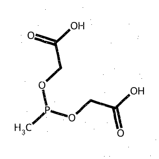 CP(OCC(=O)O)OCC(=O)O